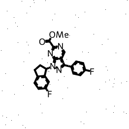 COC(=O)c1ncc2c(-c3ccc(F)cc3)nn(C3CCc4ccc(F)cc43)c2n1